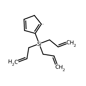 C=CC[Si](CC=C)(CC=C)C1=[C]CC=C1